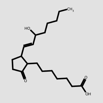 CCCCCC(O)/C=C/C1CCC(=O)C1CCCCCCC(=O)O